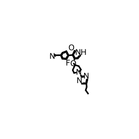 CCCc1cnc(N2CCC(Oc3cc[nH]c(=O)c3-c3ccc(C#N)cc3F)CC2)nc1